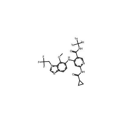 [2H]C([2H])([2H])NC(=O)c1cnc(NC(=O)C2CC2)cc1Nc1ccc2ncn(CC(F)(F)F)c2c1OC